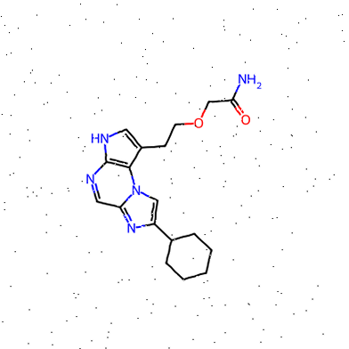 NC(=O)COCCc1c[nH]c2ncc3nc(C4CCCCC4)cn3c12